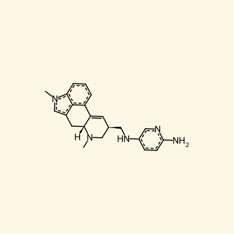 CN1C[C@H](CNc2ccc(N)nc2)C=C2c3cccc4c3c(cn4C)C[C@H]21